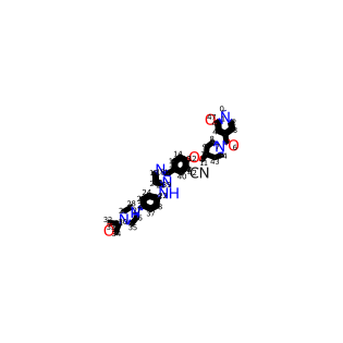 Cn1ccc(C(=O)N2CCC(COc3ccc(-c4nccc(Nc5ccc(N6CCN(C7COC7)CC6)cc5)n4)cc3C#N)CC2)cc1=O